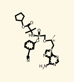 C[C@H](Cn1cnc2c(N)ncnc21)OCP(=O)(NC(C)(C)C(=O)OC1CCCC1)Oc1cccc(C#N)c1